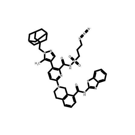 Cc1c(-c2ccc(N3CCc4cccc(C(=O)Nc5nc6ccccc6s5)c4C3)nc2C(=O)NS(=O)(=O)CCCN=[N+]=[N-])cnn1CC12CC3CC(CC(C3)C1)C2